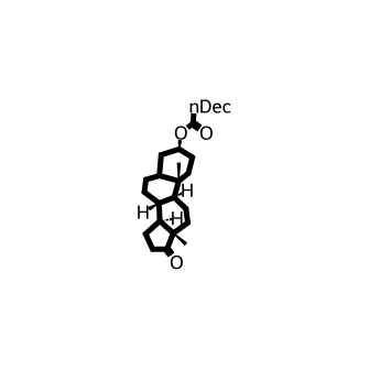 CCCCCCCCCCC(=O)O[C@H]1CC[C@@]2(C)C(CC[C@@H]3[C@@H]2CC[C@]2(C)C(=O)CC[C@@H]32)C1